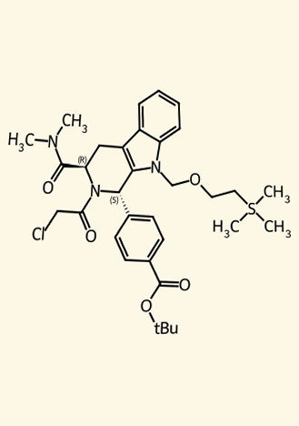 CN(C)C(=O)[C@H]1Cc2c(n(COCCS(C)(C)C)c3ccccc23)[C@H](c2ccc(C(=O)OC(C)(C)C)cc2)N1C(=O)CCl